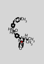 CC(C)Nc1cc(N2C3COCC2COC3)nc(-c2ccc(NC(=O)Nc3ccc(CN4CCN(C)CC4)cc3)cc2)n1